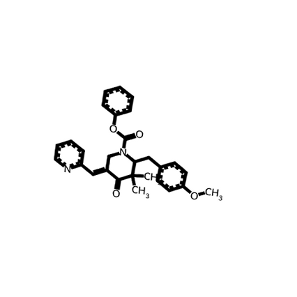 COc1ccc(CC2N(C(=O)Oc3ccccc3)CC(=Cc3ccccn3)C(=O)C2(C)C)cc1